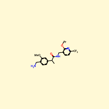 COc1cc(C(C)C(=O)NCc2ccc(C(F)(F)F)nc2OC(C)C)ccc1CN